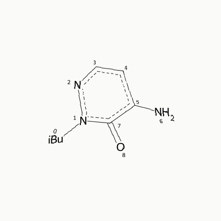 CCC(C)n1nccc(N)c1=O